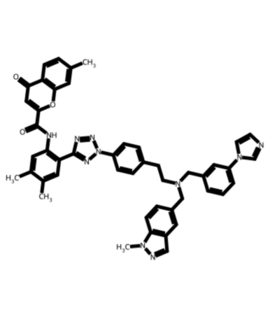 Cc1ccc2c(=O)cc(C(=O)Nc3cc(C)c(C)cc3-c3nnn(-c4ccc(CCN(Cc5cccc(-n6ccnc6)c5)Cc5ccc6c(cnn6C)c5)cc4)n3)oc2c1